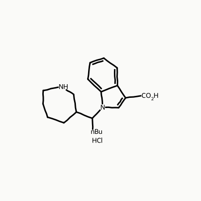 CCCCC(C1CCCCNC1)n1cc(C(=O)O)c2ccccc21.Cl